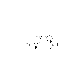 CC(C)[C@@H]1CCN(C[C@@H]2CCN(C(C)I)C2)C[C@H]1F